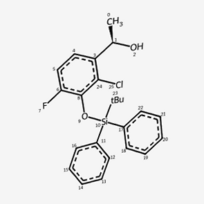 C[C@@H](O)c1ccc(F)c(O[Si](c2ccccc2)(c2ccccc2)C(C)(C)C)c1Cl